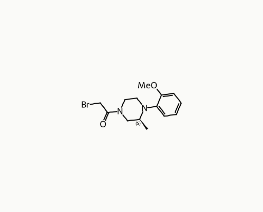 COc1ccccc1N1CCN(C(=O)CBr)C[C@@H]1C